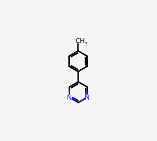 Cc1ccc(-c2cncnc2)cc1